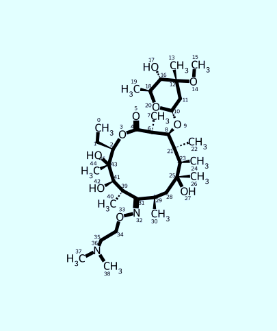 CC[C@H]1OC(=O)[C@H](C)[C@@H](O[C@H]2C[C@@](C)(OC)[C@@H](O)[C@H](C)O2)[C@H](C)[C@@H](C)[C@](C)(O)C[C@@H](C)C(=NOCCN(C)C)[C@H](C)[C@@H](O)[C@]1(C)O